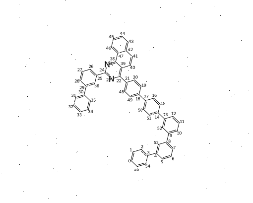 c1ccc(-c2cccc(-c3cccc(-c4ccc(-c5ccc(-c6nc(-c7cccc(-c8ccccc8)c7)nc7c6ccc6ccccc67)cc5)cc4)c3)c2)cc1